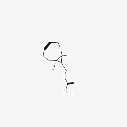 NC(=O)OCC1[C@H]2CCC#CCC[C@@H]12